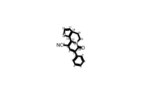 N#Cc1cc(-c2ccccc2)c(=O)n2c1-c1sccc1CC2